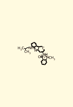 CC(C)CNc1cccc2c3cccc(NC(=O)c4ccccc4N(C)C)cc-3nc12